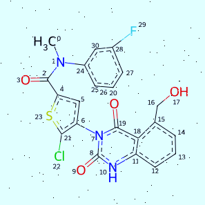 CN(C(=O)c1cc(-n2c(=O)[nH]c3cccc(CO)c3c2=O)c(Cl)s1)c1cccc(F)c1